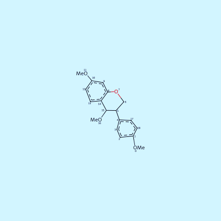 COc1ccc(C2COc3cc(OC)ccc3C2OC)cc1